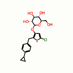 OC[C@H]1O[C@@H](Oc2cc(Cl)sc2Cc2ccc(C3CC3)cc2)[C@H](O)[C@@H](O)[C@@H]1O